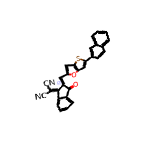 N#CC(C#N)=C1/C(=C/c2cc3sc(-c4ccc5ccccc5c4)cc3o2)C(=O)c2ccccc21